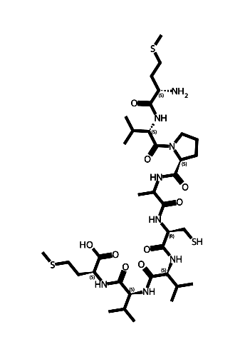 CSCC[C@H](NC(=O)[C@@H](NC(=O)[C@@H](NC(=O)[C@H](CS)NC(=O)C(C)NC(=O)[C@@H]1CCCN1C(=O)[C@@H](NC(=O)[C@@H](N)CCSC)C(C)C)C(C)C)C(C)C)C(=O)O